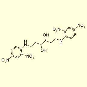 O=[N+]([O-])c1ccc(NCCC(O)C(O)CCNc2ccc([N+](=O)[O-])cc2[N+](=O)[O-])c([N+](=O)[O-])c1